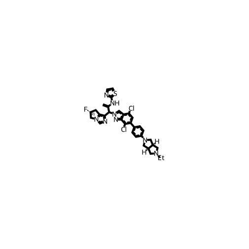 C=C(Nc1nccs1)C(c1ncn2c1C[C@@H](F)C2)n1cc2c(Cl)cc(-c3ccc(N4C[C@H]5CN(CC)C[C@H]5C4)cc3)c(Cl)c2n1